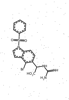 N=C(N)NC(C(=O)O)c1ccc2c(ccn2S(=O)(=O)c2ccccc2)c1Br